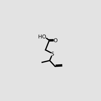 C=CC(C)SCC(=O)O